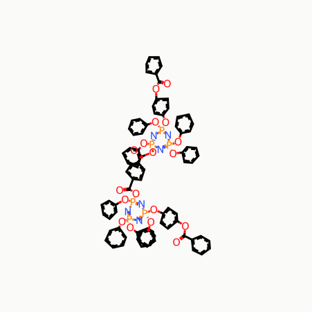 O=C(Oc1ccc(OP2(Oc3ccccc3)=NP(Oc3ccccc3)(Oc3ccccc3)=NP(OC(=O)c3ccc(C(=O)OP4(Oc5ccccc5)=NP(Oc5ccccc5)(Oc5ccc(OC(=O)c6ccccc6)cc5)=NP(Oc5ccccc5)(Oc5ccccc5)=N4)cc3)(Oc3ccccc3)=N2)cc1)c1ccccc1